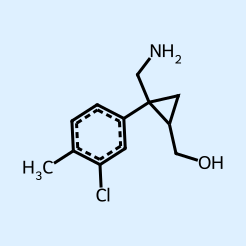 Cc1ccc(C2(CN)CC2CO)cc1Cl